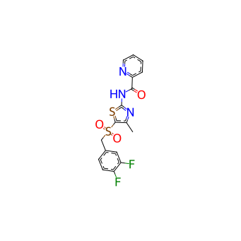 Cc1nc(NC(=O)c2ccccn2)sc1S(=O)(=O)Cc1ccc(F)c(F)c1